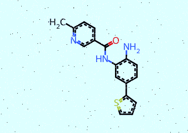 [CH2]c1ccc(C(=O)Nc2cc(-c3cccs3)ccc2N)cn1